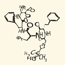 CC(C)CC(NC(=O)[C@H](CCc1ccccc1)NC(=O)CN1CC([Si](C)(C)O)C1)C(=O)N[C@@H](Cc1ccccc1)C(=O)NC(CC(C)C)C(=O)[C@@]1(C)CO1